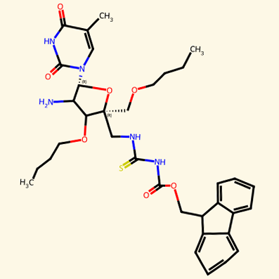 CCCCOC[C@@]1(CNC(=S)NC(=O)OCC2c3ccccc3-c3ccccc32)O[C@@H](n2cc(C)c(=O)[nH]c2=O)C(N)C1OCCCC